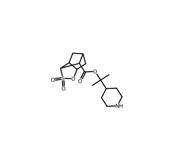 CC(C)(OC(=O)C1C2CC3OS(=O)(=O)C1C3C2)C1CCNCC1